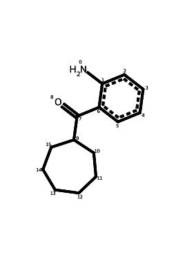 Nc1ccccc1C(=O)C1CCCCCC1